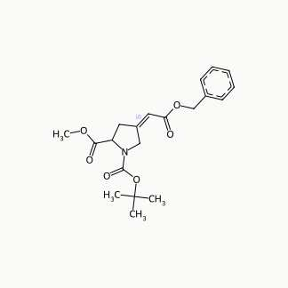 COC(=O)C1C/C(=C/C(=O)OCc2ccccc2)CN1C(=O)OC(C)(C)C